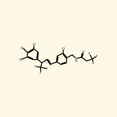 O=C(CC(F)(F)F)NCc1ccc(/C=C/C(c2cc(Cl)c(Cl)c(Cl)c2)C(F)(F)F)cc1Cl